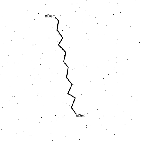 CCCCCCCCCCCCC[CH]CCCCCCCCCCCCCCCCCC